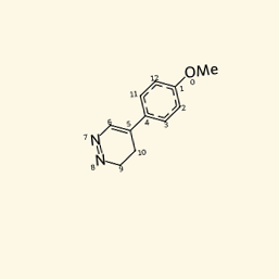 COc1ccc(C2=CN=NCC2)cc1